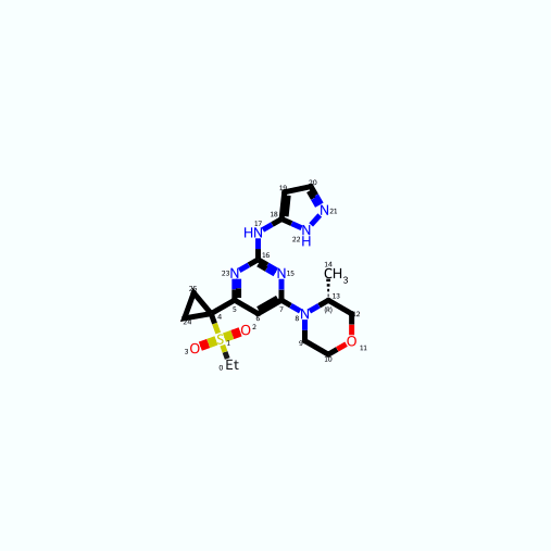 CCS(=O)(=O)C1(c2cc(N3CCOC[C@H]3C)nc(Nc3ccn[nH]3)n2)CC1